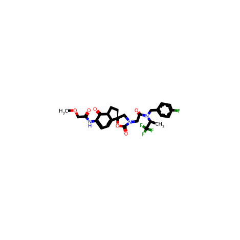 COCC(=O)NC1=CC=C2C(CC[C@]23CN(CC(=O)N(Cc2ccc(F)cc2)C(C)C(F)(F)F)C(=O)O3)C1=O